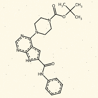 CC(C)(C)OC(=O)N1CCN(c2ncnc3[nH]c(C(=O)Nc4ccccc4)cc23)CC1